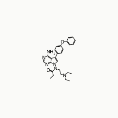 CCC(=O)N(CCN(CC)CC)n1cc(-c2ccc(Oc3ccccc3)cc2)c2c(N)ncnc21